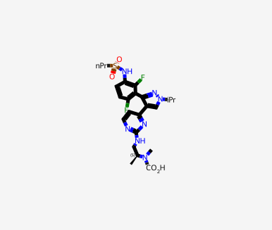 CCCS(=O)(=O)Nc1ccc(F)c(-c2nn(C(C)C)cc2-c2ccnc(NC[C@H](C)N(C)C(=O)O)n2)c1F